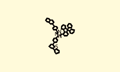 c1ccc(C2(c3ccccc3)c3ccccc3-c3c(-c4nc(-c5ccc(-c6ccc7ccccc7c6)cc5)nc(-c5ccc(-c6cccc7c6sc6ccccc67)cc5)n4)cccc32)cc1